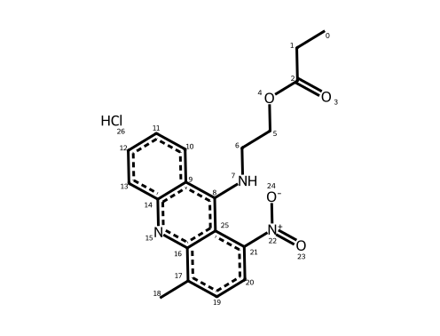 CCC(=O)OCCNc1c2ccccc2nc2c(C)ccc([N+](=O)[O-])c12.Cl